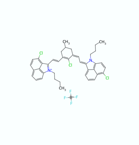 CCCCn1c(=CC=C2CC(C)CC(C=CC3=[N+](CCCC)c4cccc5ccc(Cl)c3c45)=C2Cl)c2cccc3c(Cl)ccc1c32.F[B-](F)(F)F